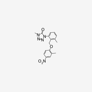 Cc1cc([N+](=O)[O-])ccc1OCc1c(C)cccc1-n1nnn(C)c1=O